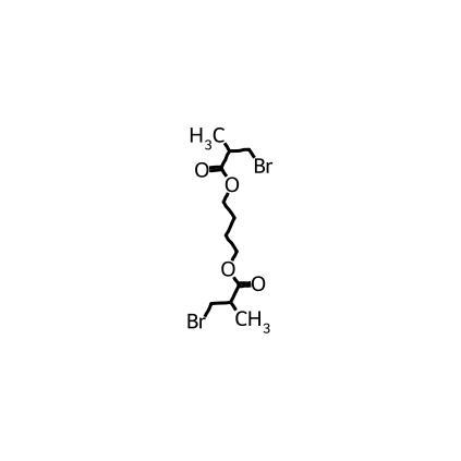 CC(CBr)C(=O)OCCCCOC(=O)C(C)CBr